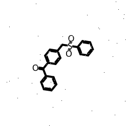 O=C(c1ccccc1)c1ccc(CS(=O)(=O)c2ccccc2)cc1